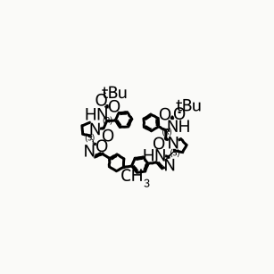 CC(C)(C)OC(=O)N[C@@H](C(=O)N1CCC[C@H]1c1ncc(-c2ccc(C3(C)CC=C(c4cnc([C@@H]5CCCN5C(=O)[C@H](NC(=O)OC(C)(C)C)c5ccccc5)o4)CC3)cc2)[nH]1)c1ccccc1